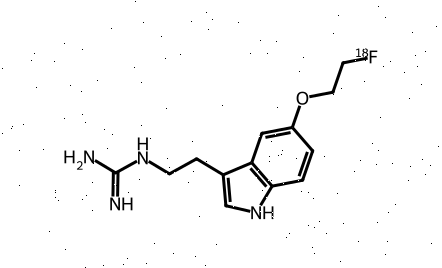 N=C(N)NCCc1c[nH]c2ccc(OCC[18F])cc12